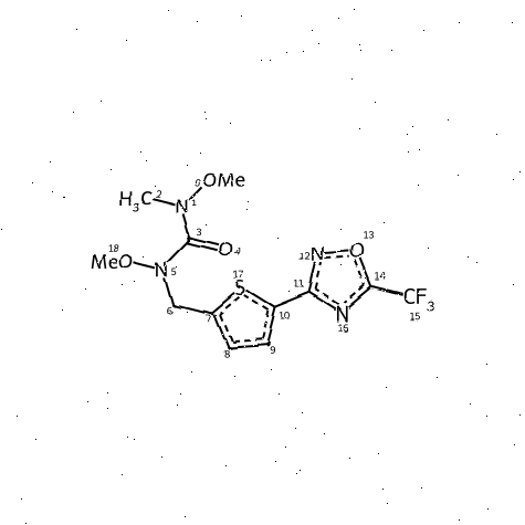 CON(C)C(=O)N(Cc1ccc(-c2noc(C(F)(F)F)n2)s1)OC